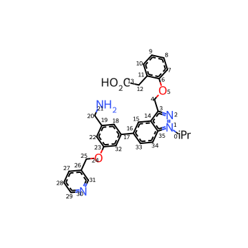 CC(C)n1nc(COc2ccccc2CC(=O)O)c2cc(-c3cc(CN)cc(OCc4cccnc4)c3)ccc21